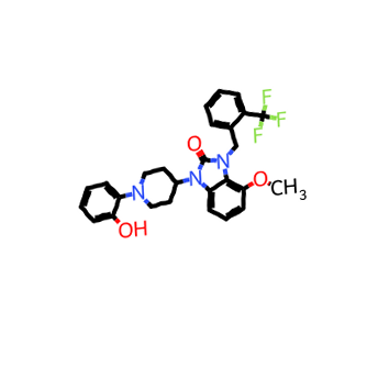 COc1cccc2c1n(Cc1ccccc1C(F)(F)F)c(=O)n2C1CCN(c2ccccc2O)CC1